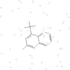 FC(F)(F)C(F)(c1cc(Br)[c]c2cccnc12)C(F)(F)F